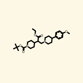 CCOC(=O)C(CN1CCC(c2ccc(OC)cc2)CC1)C1CCN(C(=O)OC(C)(C)C)CC1